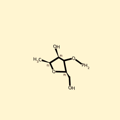 C[C@@H]1O[C@H](CO)C(OP)[C@@H]1O